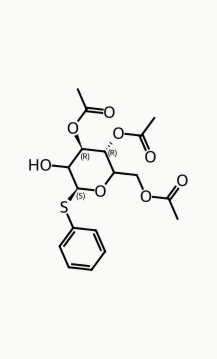 CC(=O)OCC1O[C@@H](Sc2ccccc2)C(O)[C@@H](OC(C)=O)[C@@H]1OC(C)=O